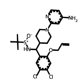 C=CCOc1cc(Cl)c(Cl)cc1C(N[S@@+]([O-])C(C)(C)C)C1CCN(c2cc(N)ccn2)CC1